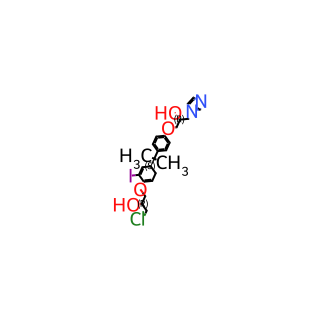 CC(C)(c1ccc(OC[C@H](O)Cn2ccnc2)cc1)[C@@H]1C=C(I)C(OC[C@@H](O)CCl)=CC1